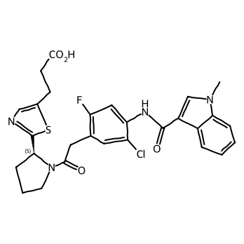 Cn1cc(C(=O)Nc2cc(F)c(CC(=O)N3CCC[C@H]3c3ncc(CCC(=O)O)s3)cc2Cl)c2ccccc21